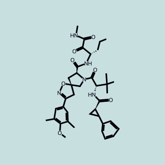 CCC[C@H](NC(=O)[C@@H]1C[C@]2(CC(c3cc(C)c(OC)c(C)c3)=NO2)CN1C(=O)[C@@H](NC(=O)[C@@H]1CC1c1ccccc1)C(C)(C)C)C(=O)C(=O)NC